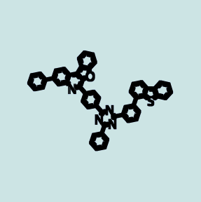 c1ccc(-c2ccc3c(c2)nc(-c2ccc(-c4nc(-c5ccccc5)nc(-c5cccc(-c6cccc7c6sc6ccccc67)c5)n4)cc2)c2oc4ccccc4c23)cc1